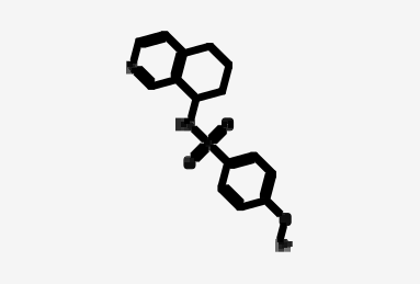 CC(C)Oc1ccc(S(=O)(=O)NC2CCCc3ccncc32)cc1